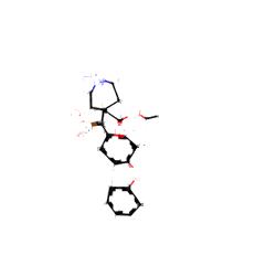 CCOC(=O)C1(C(c2ccc(Oc3ccccc3)cc2)=S(=O)=O)CCNCC1